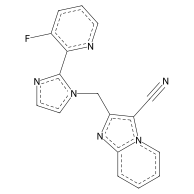 N#Cc1c(Cn2ccnc2-c2ncccc2F)nc2ccccn12